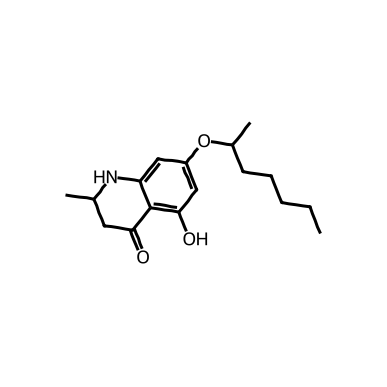 CCCCCC(C)Oc1cc(O)c2c(c1)NC(C)CC2=O